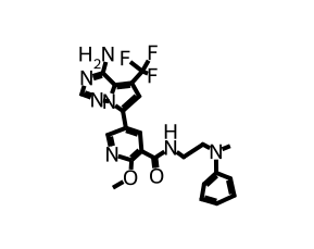 COc1ncc(-c2cc(C(F)(F)F)c3c(N)ncnn23)cc1C(=O)NCCN(C)c1ccccc1